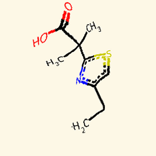 [CH2]Cc1csc(C(C)(C)C(=O)O)n1